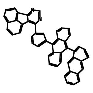 c1cc(-c2ncnc3c2-c2cccc4cccc-3c24)cc(-c2c3ccccc3c(-c3cccc4cc5ccccc5cc34)c3ccccc23)c1